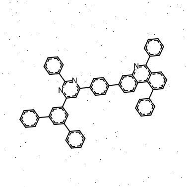 c1ccc(-c2cc(-c3ccccc3)cc(-c3cc(-c4ccc(-c5ccc6c(c5)nc(-c5ccccc5)c5cccc(-c7ccccc7)c56)cc4)nc(-c4ccccc4)n3)c2)cc1